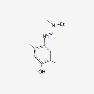 CCN(C)/C=N/c1cc(C)c(O)nc1C